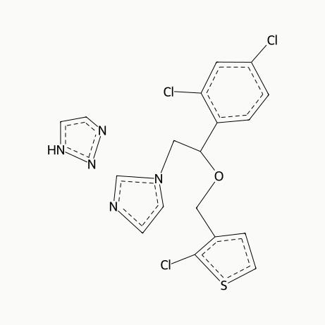 Clc1ccc(C(Cn2ccnc2)OCc2ccsc2Cl)c(Cl)c1.c1c[nH]nn1